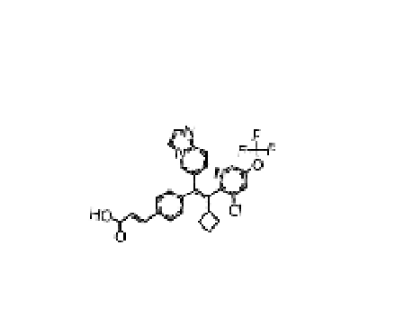 O=C(O)C=Cc1ccc(C(=C(c2ncc(OC(F)(F)F)cc2Cl)C2CCC2)c2ccc3nccn3c2)cc1